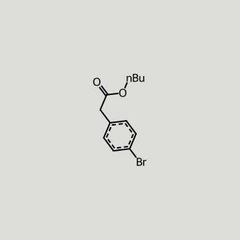 CCCCOC(=O)Cc1ccc(Br)cc1